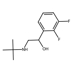 CC(C)(C)NCC(O)c1cccc(F)c1F